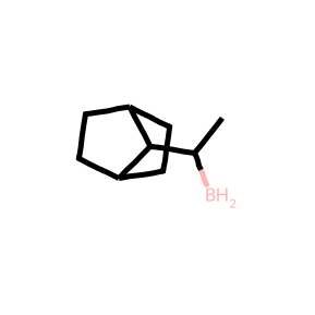 BC(C)C1C2CCC1CC2